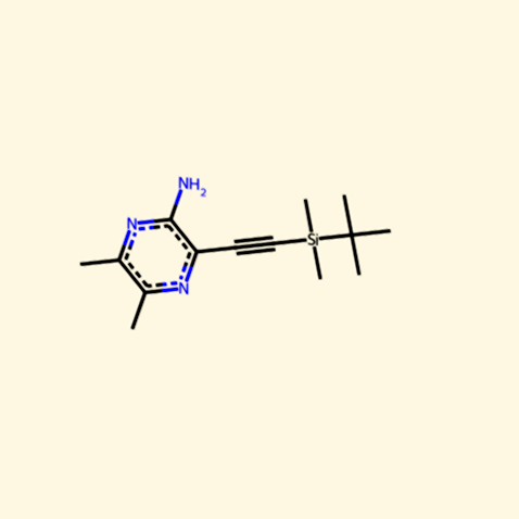 Cc1nc(N)c(C#C[Si](C)(C)C(C)(C)C)nc1C